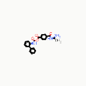 CC(N)NC(=O)c1ccc(C(=O)OC(=O)Nc2ccccc2-c2ccccc2)cc1